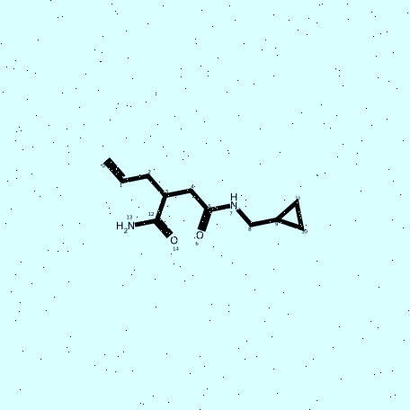 C=CCC(CC(=O)NCC1CC1)C(N)=O